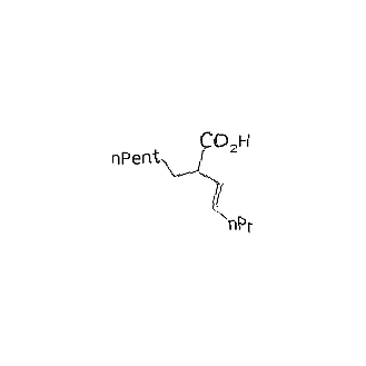 CCCC=CC(CCCCCC)C(=O)O